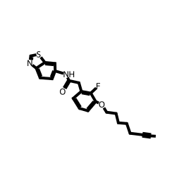 CC#CCCCCCOc1cccc(CC(=O)Nc2ccc3ncsc3c2)c1F